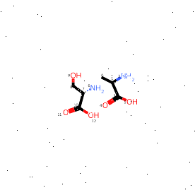 CC(N)C(=O)O.N[C@@H](CO)C(=O)O